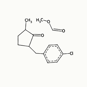 CC1CCC(Cc2ccc(Cl)cc2)C1=O.COC=O